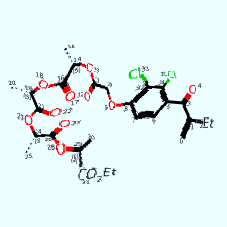 C=C(CC)C(=O)c1ccc(OCC(=O)O[C@@H](C)C(=O)O[C@@H](C)C(=O)O[C@@H](C)C(=O)O[C@@H](C)C(=O)OCC)c(Cl)c1Cl